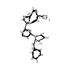 FC(F)(F)c1cn2c(-c3nccc(N4CCCC4Cc4ccccc4)n3)cnc2cn1